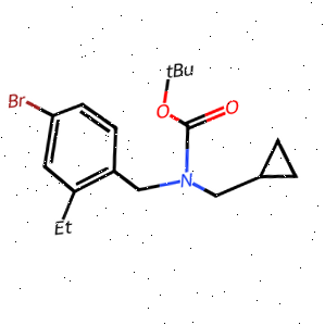 CCc1cc(Br)ccc1CN(CC1CC1)C(=O)OC(C)(C)C